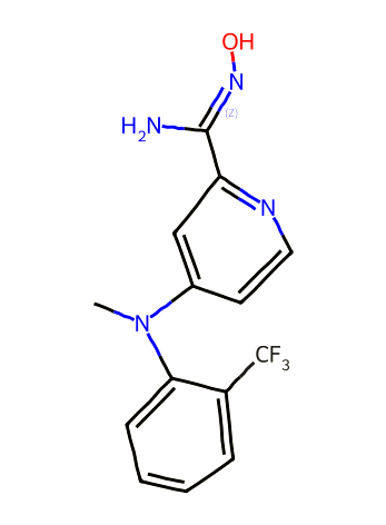 CN(c1ccnc(/C(N)=N/O)c1)c1ccccc1C(F)(F)F